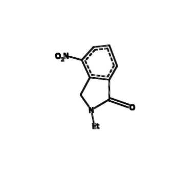 CCN1Cc2c(cccc2[N+](=O)[O-])C1=O